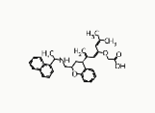 C=C(/C=C(\C=C(C)C)OCC(=O)O)[C@@H]1C[C@H](CN[C@H](C)c2cccc3ccccc23)Oc2ccccc21